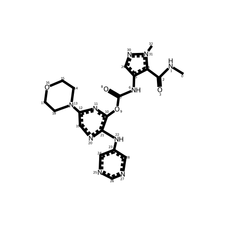 CNC(=O)c1c(NC(=O)Oc2nc(N3CCOCC3)cnc2Nc2cncnc2)cnn1C